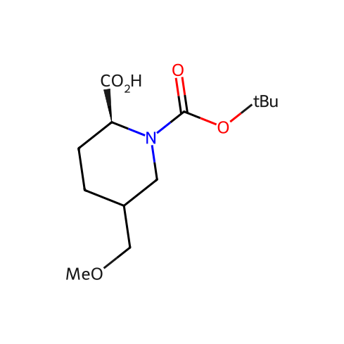 COCC1CC[C@@H](C(=O)O)N(C(=O)OC(C)(C)C)C1